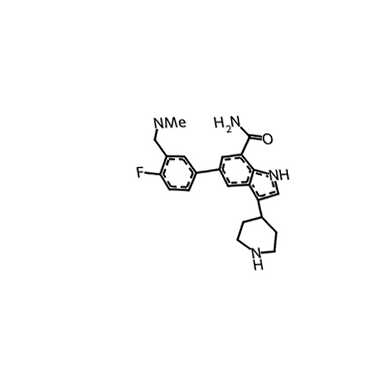 CNCc1cc(-c2cc(C(N)=O)c3[nH]cc(C4CCNCC4)c3c2)ccc1F